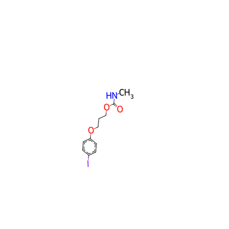 CNC(=O)OCCCOc1ccc(I)cc1